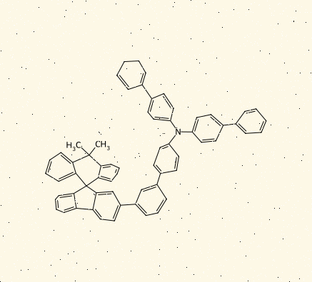 CC1(C)c2ccccc2C2(c3ccccc3-c3ccc(-c4cccc(-c5ccc(N(c6ccc(C7=CCCC=C7)cc6)c6ccc(-c7ccccc7)cc6)cc5)c4)cc32)c2ccccc21